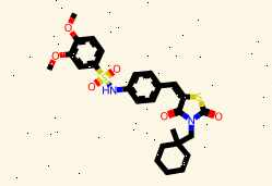 COc1ccc(S(=O)(=O)Nc2ccc(C=C3SC(=O)N(CC4(C)CCCCC4)C3=O)cc2)cc1OC